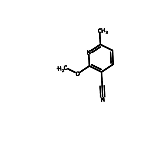 [CH2]Oc1nc(C)ccc1C#N